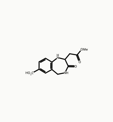 COC(=O)CC1Nc2ccc(C(=O)O)cc2CNC1=O